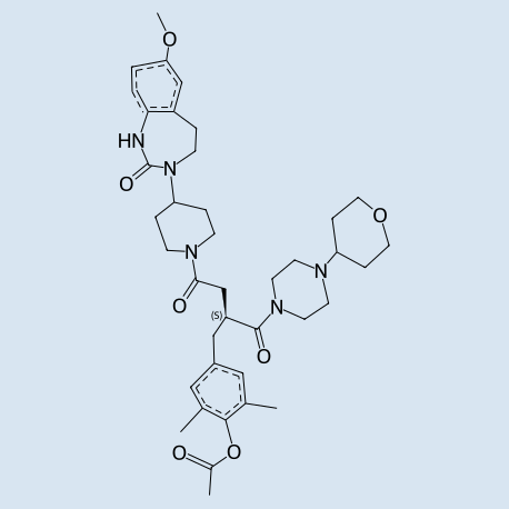 COc1ccc2c(c1)CCN(C1CCN(C(=O)C[C@H](Cc3cc(C)c(OC(C)=O)c(C)c3)C(=O)N3CCN(C4CCOCC4)CC3)CC1)C(=O)N2